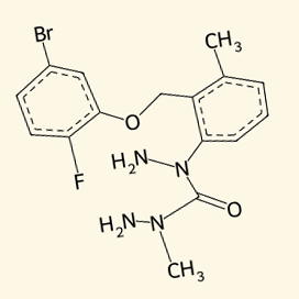 Cc1cccc(N(N)C(=O)N(C)N)c1COc1cc(Br)ccc1F